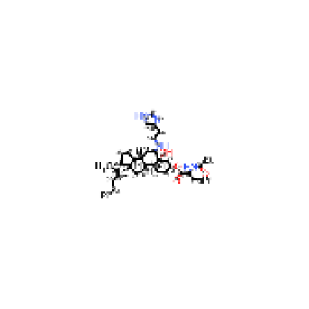 CCC(=O)NC(CC(C)C)C(=O)O[C@H]1CC[C@]2(C)[C@H]3CC[C@]4(C)[C@@H](C(C)CCCC(C)C)CC[C@H]4[C@@H]3C[C@@H](NCCc3c[nH]cn3)[C@@]2(O)C1